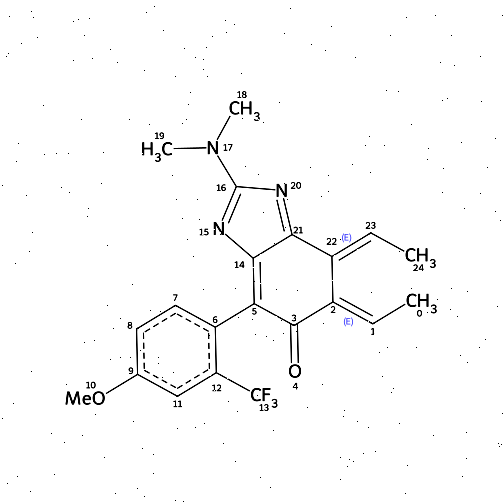 C/C=C1/C(=O)C(c2ccc(OC)cc2C(F)(F)F)=C2N=C(N(C)C)N=C2/C1=C/C